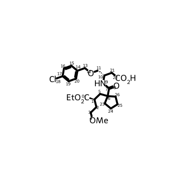 CCOC(=O)[C@H](CCOC)CC1(C(=O)N[C@H](COCc2ccc(Cl)cc2)CC(=O)O)CCCC1